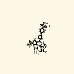 CC(C)C[C@@H](C(N)=O)N(CC#N)[C@@H](c1ccc(-c2ccc(S(C)(=O)=O)cc2)cc1)c1ccc(C(F)(F)F)cc1